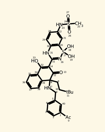 CC(=O)c1cccc(CNC2(CCC(C)(C)C)C(=O)C(C3=NS(O)(O)c4cc(NS(C)(=O)=O)ccc4N3)=C(O)c3ccccc32)c1